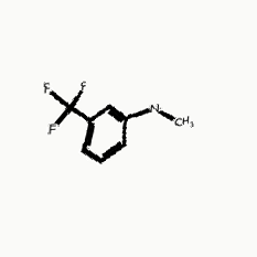 C[N]c1cccc(C(F)(F)F)c1